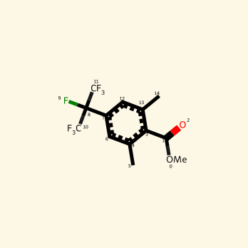 COC(=O)c1c(C)cc(C(F)(C(F)(F)F)C(F)(F)F)cc1C